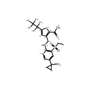 CCS(=O)(=O)c1cc(C2(N)CC2)cnc1NCc1cc(C(F)(F)C(F)(F)F)sc1C(=O)O